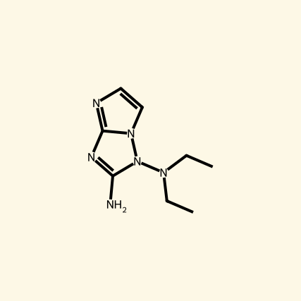 CCN(CC)n1c(N)nc2nccn21